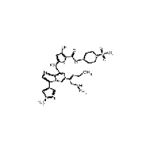 CC/C=C(\CNC)c1cn2c(-c3cnn(C)c3)cnc2c(Nc2cc(C)c(C(=O)NC3CCN(S(C)(=O)=O)CC3)s2)n1